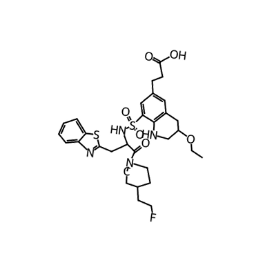 CCOC1CNc2c(cc(CCC(=O)O)cc2S(=O)(=O)NC(Cc2nc3ccccc3s2)C(=O)N2CCC(CCF)CC2)C1